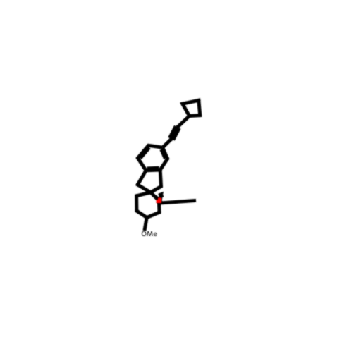 COC1CCC2(Cc3ccc(C#CC4CCC4)cc3C2)C2(C1)N=CC(C)=N2